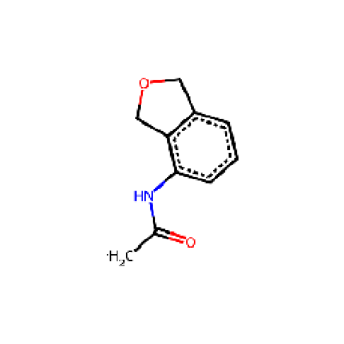 [CH2]C(=O)Nc1cccc2c1COC2